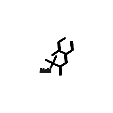 C=CC(=C/C(=C)C(C)(C)NC)/C(C)=C\C